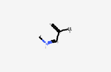 C=C(/C=N\C)CC